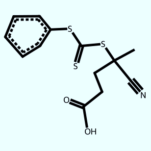 CC(C#N)(CCC(=O)O)SC(=S)Sc1ccccc1